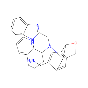 NCc1cc2c3cc1C(N(Cc1nc4ccccc4[nH]1)C1CCCc4cccnc41)C2OC3